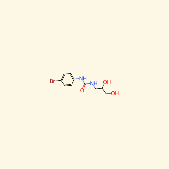 O=C(NCC(O)CO)Nc1ccc(Br)cc1